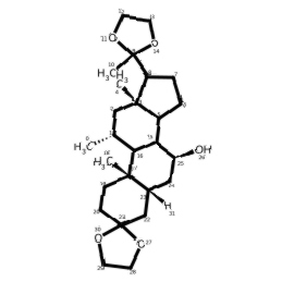 C[C@@H]1C[C@@]2(C)C(CCC2C2(C)OCCO2)C2C1[C@@]1(C)CCC3(C[C@H]1C[C@@H]2O)OCCO3